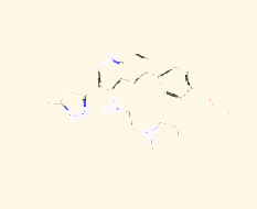 COc1ccc(-c2ccc3ncc(-c4nnc(C)o4)c(NCCN4CCOCC4)c3c2)cc1